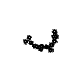 c1ccc(N(c2ccc(-c3ccc4cc5c(cc4c3)-c3ccc(-c4ccc(N(c6ccc(-c7ccc8c(c7)-c7ccc9c%10c(ccc-8c7%10)-c7ccccc7-9)cc6)c6cccnc6)cc4)c4cccc-5c34)cc2)c2cccnc2)cc1